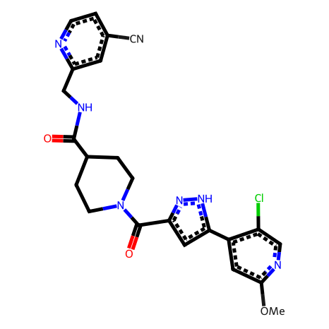 COc1cc(-c2cc(C(=O)N3CCC(C(=O)NCc4cc(C#N)ccn4)CC3)n[nH]2)c(Cl)cn1